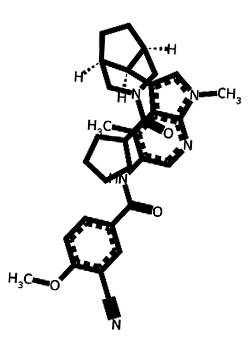 COc1ccc(C(=O)Nc2cnc3c(c([C@H]4[C@@H]5CC[C@H]4CN(C(=O)C4CCCC4)C5)cn3C)c2C)cc1C#N